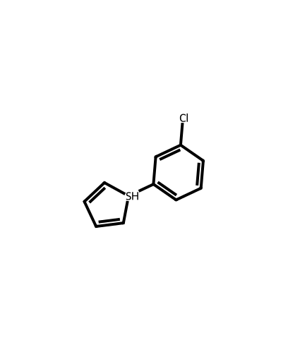 Clc1cccc([SH]2C=CC=C2)c1